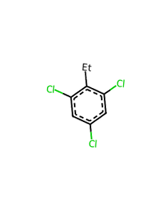 CCc1c(Cl)cc(Cl)cc1Cl